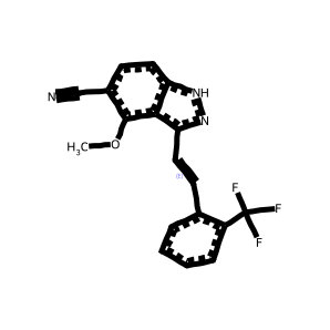 COc1c(C#N)ccc2[nH]nc(/C=C/c3ccccc3C(F)(F)F)c12